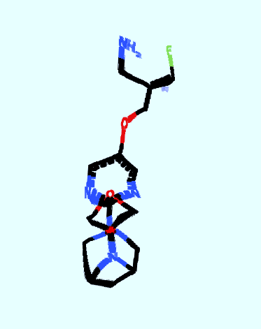 NC/C(=C\F)COc1cnc(N2CC3CC(C2)N3C2COC2)nc1